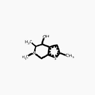 Cc1cc2c(s1)CN(C)C(C)C2O